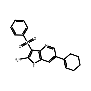 Nc1[nH]c2cc(C3=CCCCC3)cnc2c1S(=O)(=O)c1ccccc1